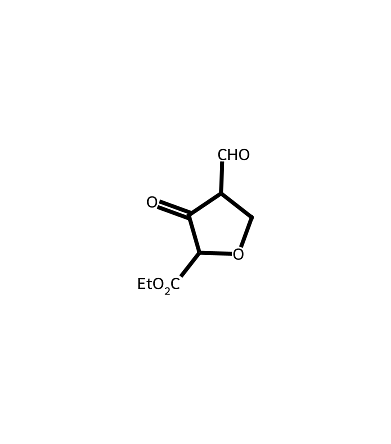 CCOC(=O)C1OCC(C=O)C1=O